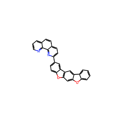 c1cnc2c(c1)ccc1ccc(-c3ccc4oc5cc6oc7ccccc7c6cc5c4c3)nc12